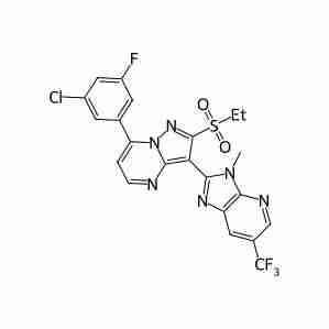 CCS(=O)(=O)c1nn2c(-c3cc(F)cc(Cl)c3)ccnc2c1-c1nc2cc(C(F)(F)F)cnc2n1C